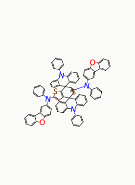 c1ccc(N(c2ccc3oc4ccccc4c3c2)c2cc3c(s2)C2(c4ccccc4N(c4ccccc4)c4ccccc42)c2cc(N(c4ccccc4)c4ccc5oc6ccccc6c5c4)sc2C32c3ccccc3N(c3ccccc3)c3ccccc32)cc1